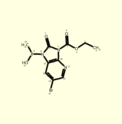 CCOC(=O)n1c(=O)n(B(C)O)c2cc(Br)cnc21